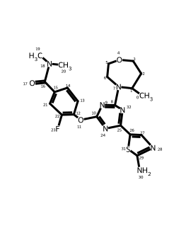 CC1CCOCCN1c1nc(Oc2ccc(C(=O)N(C)C)cc2F)nc(-c2cnc(N)s2)n1